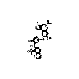 COc1cc2c(cc1Nc1ncc(Br)c(Nc3ccc4nccnc4c3P(C)(C)=O)n1)-c1cnn(C)c1CN(C(C)C)C2